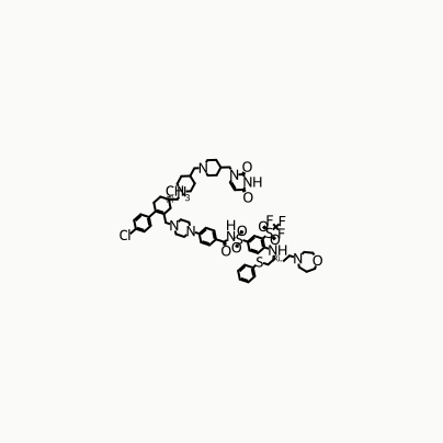 C[C@@]1(CN2CCC(CN3CCC(Cn4ccc(=O)[nH]c4=O)CC3)CC2)CCC(c2ccc(Cl)cc2)=C(CN2CCN(c3ccc(C(=O)NS(=O)(=O)c4ccc(N[C@H](CCN5CCCOCC5)CSc5ccccc5)c(S(=O)(=O)C(F)(F)F)c4)cc3)CC2)C1